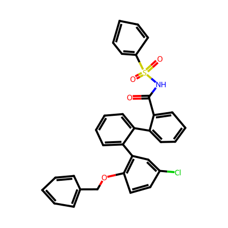 O=C(NS(=O)(=O)c1ccccc1)c1ccccc1-c1ccccc1-c1cc(Cl)ccc1OCc1ccccc1